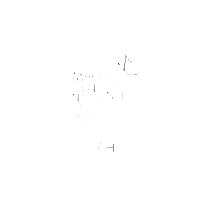 COc1cn2nccc2cc1Nc1ncnc2sc3c(c12)CC[C@H](C)C3